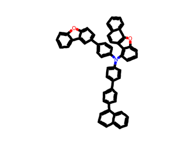 c1ccc2c(-c3ccc(-c4ccc(N(c5ccc(-c6ccc7oc8ccccc8c7c6)cc5)c5cccc6oc7c8ccccc8ccc7c56)cc4)cc3)cccc2c1